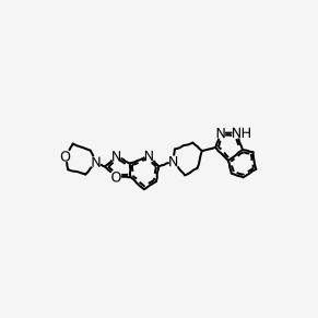 c1ccc2c(C3CCN(c4ccc5oc(N6CCOCC6)nc5n4)CC3)n[nH]c2c1